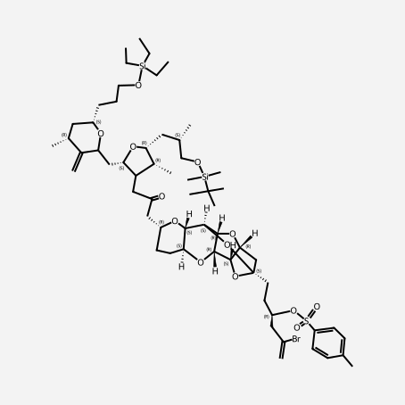 C=C(Br)C[C@@H](CC[C@@]12C[C@H]3O[C@H]4[C@@H](O1)[C@H]1O[C@@H](CC(=O)CC5[C@H](CC6O[C@@H](CCCO[Si](CC)(CC)CC)C[C@@H](C)C6=C)O[C@H](C[C@H](C)CO[Si](C)(C)C(C)(C)C)[C@@H]5C)CC[C@@H]1O[C@H]4[C@H]3O2)OS(=O)(=O)c1ccc(C)cc1